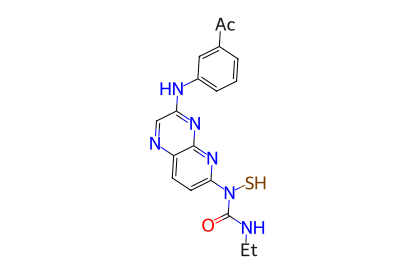 CCNC(=O)N(S)c1ccc2ncc(Nc3cccc(C(C)=O)c3)nc2n1